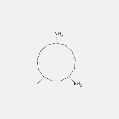 BC1CCCCC(N)CCCCC(C)CC1